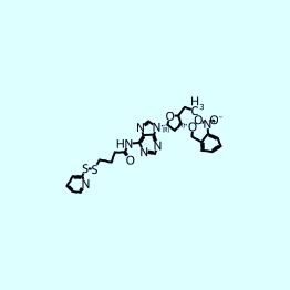 CCC1O[C@@H](n2cnc3c(NC(=O)CCCSSc4ccccn4)ncnc32)C[C@H]1OCc1ccccc1[N+](=O)[O-]